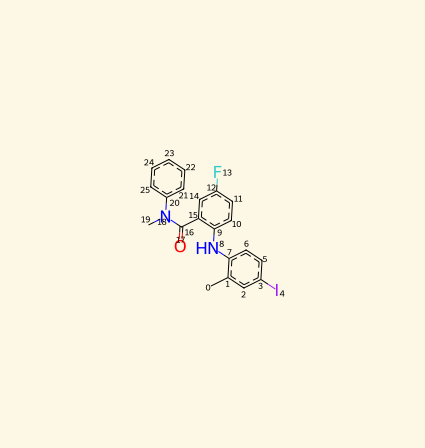 Cc1cc(I)ccc1Nc1ccc(F)cc1C(=O)N(C)c1ccccc1